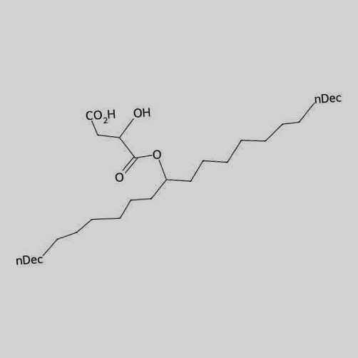 CCCCCCCCCCCCCCCCCC(CCCCCCCCCCCCCCCC)OC(=O)C(O)CC(=O)O